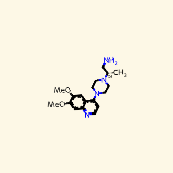 COc1cc2nccc(N3CCN([C@@H](C)CN)CC3)c2cc1OC